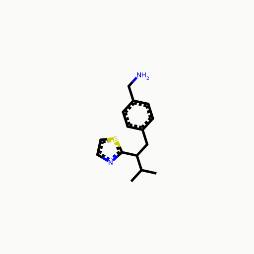 CC(C)C(Cc1ccc(CN)cc1)c1nccs1